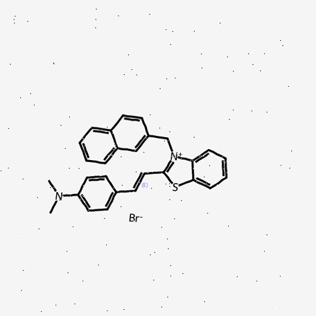 CN(C)c1ccc(/C=C/c2sc3ccccc3[n+]2Cc2ccc3ccccc3c2)cc1.[Br-]